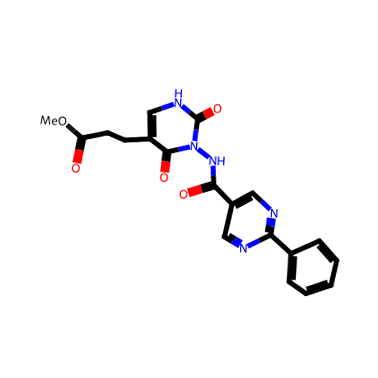 COC(=O)CCc1c[nH]c(=O)n(NC(=O)c2cnc(-c3ccccc3)nc2)c1=O